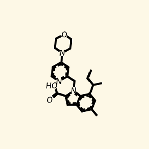 CCC(C)c1cc(C)cc2cc(C(=O)O)n(Cc3cc(N4CCOCC4)ccn3)c12